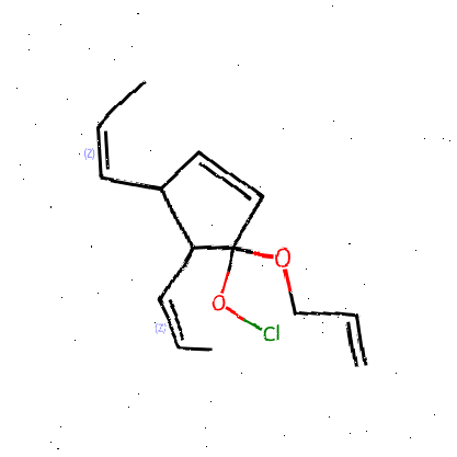 C=CCOC1(OCl)C=CC(/C=C\C)C1/C=C\C